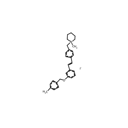 Cc1ccc(COc2cccc(C=Cc3ccc(C[N+]4(C)CCCCC4)cc3)c2)cc1.[I-]